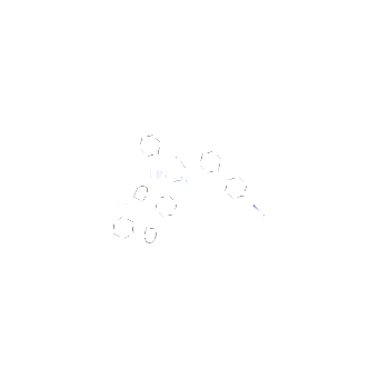 N#Cc1ccc(-c2cccc(C3=NC(c4ccccc4)NC(c4ccc5c(c4)C4(c6ccccc6Oc6ccccc64)c4ccccc4-5)=N3)c2)cc1